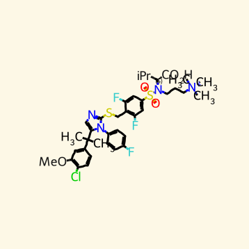 COc1cc(C(C)(C)c2cnc(SCc3c(F)cc(S(=O)(=O)N(CCC[N+](C)(C)C)[C@H](C(=O)O)C(C)C)cc3F)n2-c2ccc(F)cc2)ccc1Cl